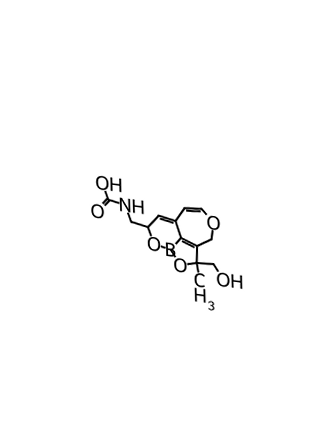 CC1(CO)OB2OC(CNC(=O)O)C=C3C=COCC1=C23